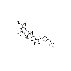 C=C(/N=C1\C(=C/N)n2cnc(C#N)c2[C@@H](CC)N1C(C)C)Nc1cc(F)c(C(=O)Nc2ccc(CN3CCN(C)CC3)cc2)cc1OC